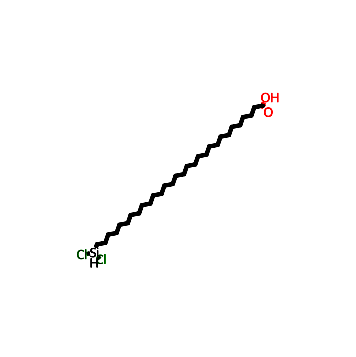 O=C(O)CCCCCCCCCCCCCCCCCCCCCCCCCCCCC[SiH](Cl)Cl